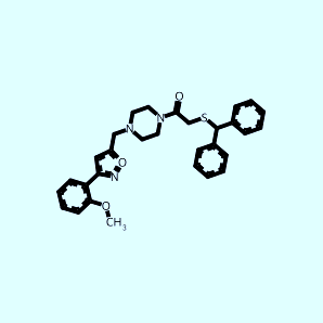 COc1ccccc1-c1cc(CN2CCN(C(=O)CSC(c3ccccc3)c3ccccc3)CC2)on1